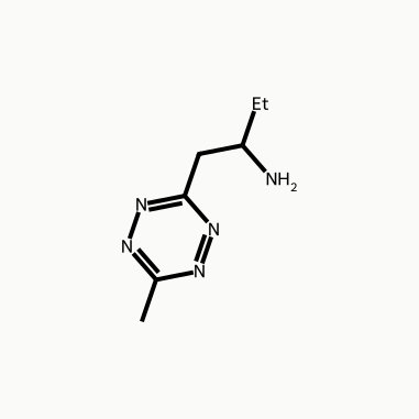 CCC(N)Cc1nnc(C)nn1